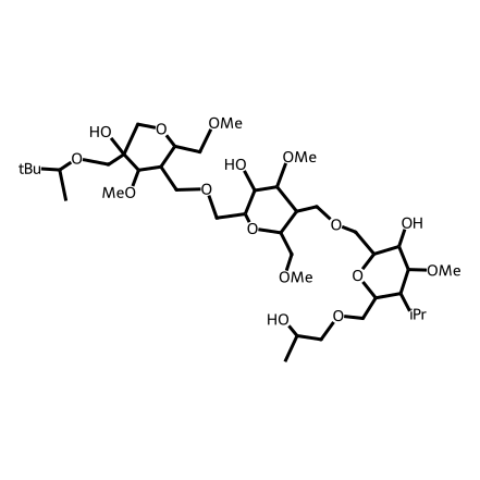 COCC1OC(COCC2C(COC)OCC(O)(COC(C)C(C)(C)C)C2OC)C(O)C(OC)C1COCC1OC(COCC(C)O)C(C(C)C)C(OC)C1O